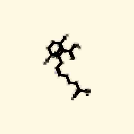 CC(=O)C1C(C/C=C\CCCC(=O)O)[C@H]2CC[C@H]1CC2